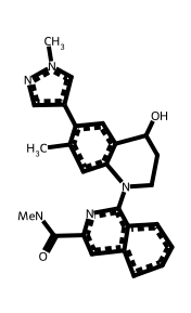 CNC(=O)c1cc2ccccc2c(N2CCC(O)c3cc(-c4cnn(C)c4)c(C)cc32)n1